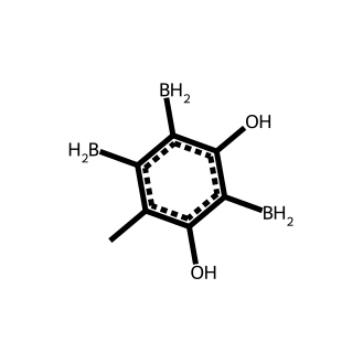 Bc1c(B)c(O)c(B)c(O)c1C